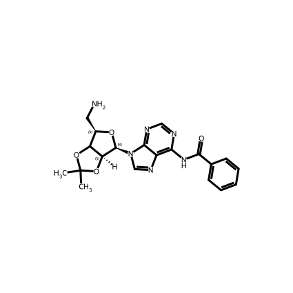 CC1(C)OC2[C@@H](CN)O[C@@H](n3cnc4c(NC(=O)c5ccccc5)ncnc43)[C@H]2O1